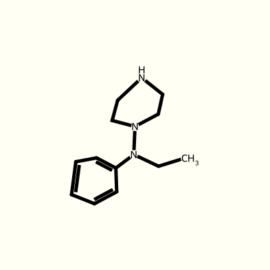 CCN(c1ccccc1)N1CCNCC1